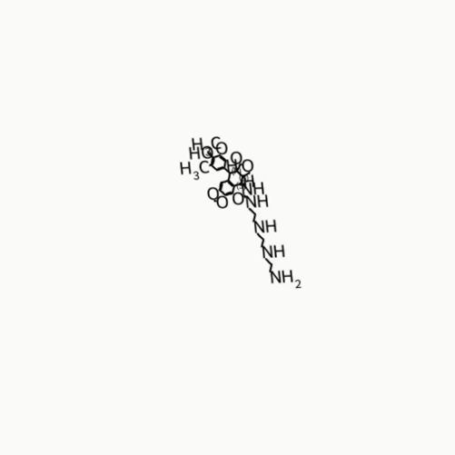 COc1cc(C2c3cc4c(cc3[C@@H](NC(=O)NCCCNCCCNCCCN)[C@H]3COC(=O)[C@H]23)OCO4)cc(C)c1O